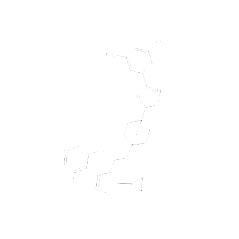 O=C(O)c1cc(-c2noc(C34CCC(OCc5c(-c6c(Cl)cncc6Cl)noc5C5CC5)(CC3)CC4)n2)cc(C(F)(F)F)c1